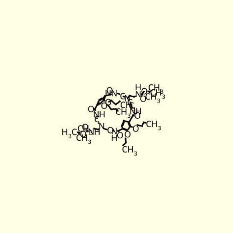 CCCCOc1c2ccc(c1OCCCC)C(=O)NCCN(CCNC(=O)OC(C)(C)C)CCNC(=O)c1ccc(c(OCCCC)c1OCCCC)C(=O)NCCN(CCNC(=O)OC(C)(C)C)CCNC2=O